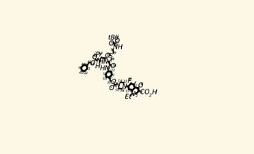 CCn1cc(C(=O)O)c(=O)c2cc(F)c(N3CCN(C(=O)OCc4ccc(NC(=O)[C@H](CSCCNC(=O)OC(C)(C)C)NC(=O)[C@@H](NC(=O)OCc5ccccc5)C(C)C)cc4)CC3)cc21